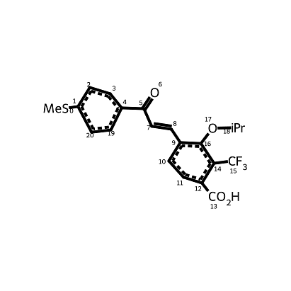 CSc1ccc(C(=O)/C=C/c2ccc(C(=O)O)c(C(F)(F)F)c2OC(C)C)cc1